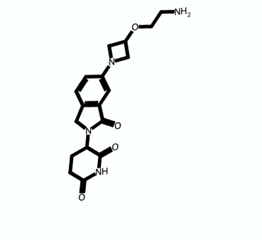 NCCOC1CN(c2ccc3c(c2)C(=O)N(C2CCC(=O)NC2=O)C3)C1